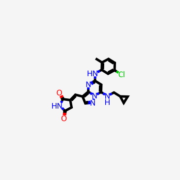 Cc1ccc(Cl)cc1Nc1cc(NCC2CC2)n2ncc(C=C3CC(=O)NC3=O)c2n1